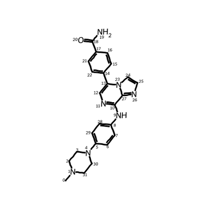 CN1CCN(c2ccc(Nc3ncc(-c4ccc(C(N)=O)cc4)n4ccnc34)cc2)CC1